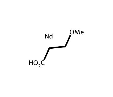 COCCC(=O)O.[Nd]